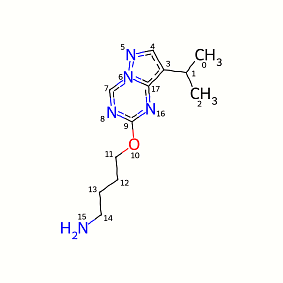 CC(C)c1cnn2cnc(OCCCCN)nc12